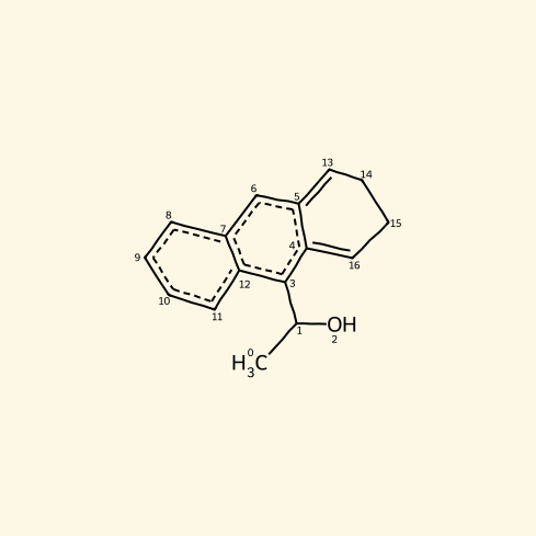 CC(O)c1c2c(cc3ccccc13)=CCCC=2